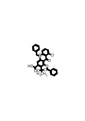 CC(C)(C)c1c(C(=O)O)cc(OCc2ccccc2)c(C(=O)c2c(Cl)cccc2Cl)c1OCc1ccccc1